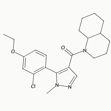 CCOc1ccc(-c2c(C(=O)N3CCCC4CCCCC43)cnn2C)c(Cl)c1